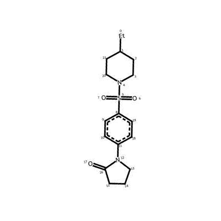 CCC1CCN(S(=O)(=O)c2ccc(N3CCCC3=O)cc2)CC1